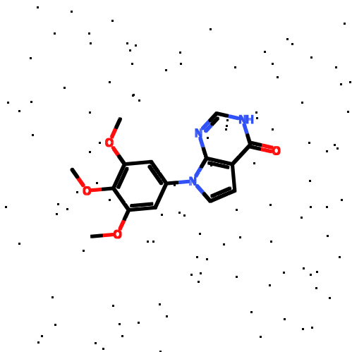 COc1cc(-n2ccc3c(=O)[nH]cnc32)cc(OC)c1OC